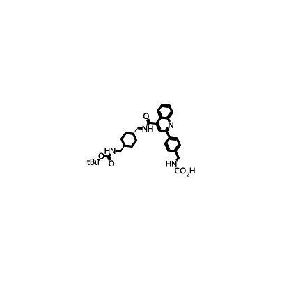 CC(C)(C)OC(=O)NC[C@H]1CC[C@H](CNC(=O)c2cc(-c3ccc(CNC(=O)O)cc3)nc3ccccc23)CC1